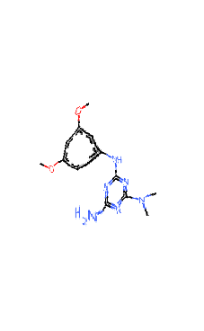 COc1cc(Nc2nc(N)nc(N(C)C)n2)cc(OC)c1